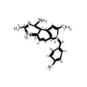 Cc1cc2c3c(N)nc(N)nc3ccc2n1Cc1ccc(C#N)cc1